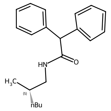 CCCC[C@H](C)CNC(=O)C(c1ccccc1)c1ccccc1